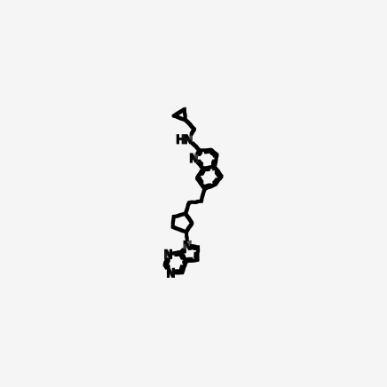 c1ncc2ccn(C3CCC(CCc4ccc5ccc(NCC6CC6)nc5c4)C3)c2n1